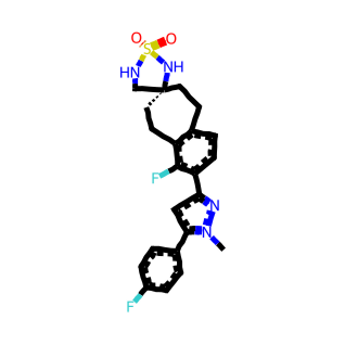 Cn1nc(-c2ccc3c(c2F)CC[C@]2(CC3)CNS(=O)(=O)N2)cc1-c1ccc(F)cc1